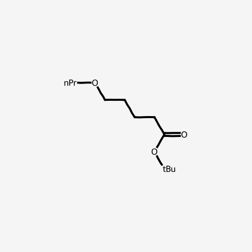 CCCOCCCCC(=O)OC(C)(C)C